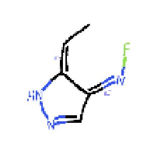 C/C=C1/NN=C/C1=N/F